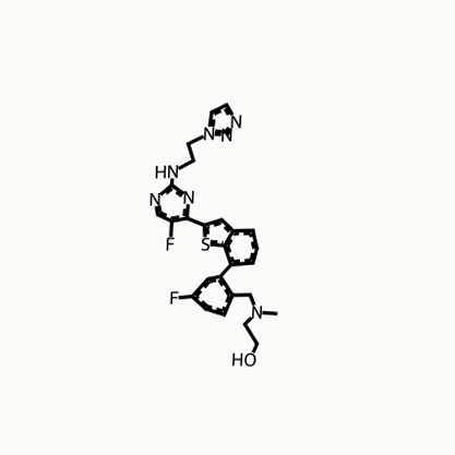 CN(CCO)Cc1ccc(F)cc1-c1cccc2cc(-c3nc(NCCn4ccnn4)ncc3F)sc12